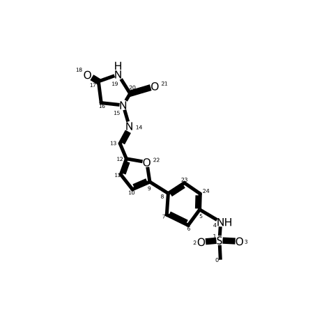 CS(=O)(=O)Nc1ccc(-c2ccc(C=NN3CC(=O)NC3=O)o2)cc1